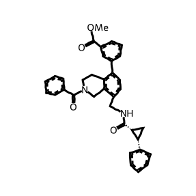 COC(=O)c1cccc(-c2ccc(CNC(=O)[C@@H]3C[C@@H]3c3ccccc3)c3c2CCN(C(=O)c2ccccc2)C3)c1